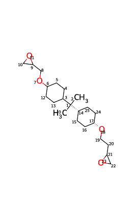 CC(C)(C1CCC(OCC2CO2)CC1)[C@H]1CC[C@@H](OCCC2CO2)CC1